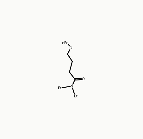 CCCOCCCC(=O)N(CC)CC